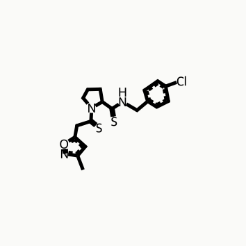 Cc1cc(CC(=S)N2CCCC2C(=S)NCc2ccc(Cl)cc2)on1